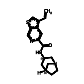 C=Cc1csc2cnc(C(=O)N[C@@H]3C[C@H]4CCN(C4)C3)cc12